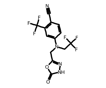 N#Cc1ccc(N(Cc2n[nH]c(=O)o2)CC(F)(F)F)cc1C(F)(F)F